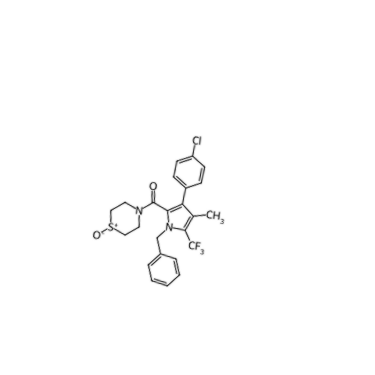 Cc1c(-c2ccc(Cl)cc2)c(C(=O)N2CC[S+]([O-])CC2)n(Cc2ccccc2)c1C(F)(F)F